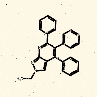 CCn1cc2c(-c3ccccc3)c(-c3ccncc3)c(-c3ccccc3)nc2n1